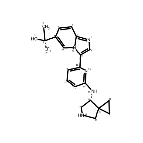 C[C@](O)(c1ccc2ncc(-c3cccc(N[C@H]4CNCC45CC5)n3)n2c1)C(F)(F)F